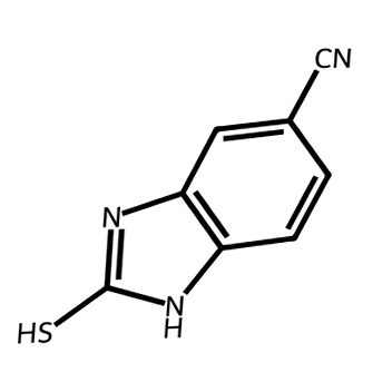 N#Cc1ccc2[nH]c(S)nc2c1